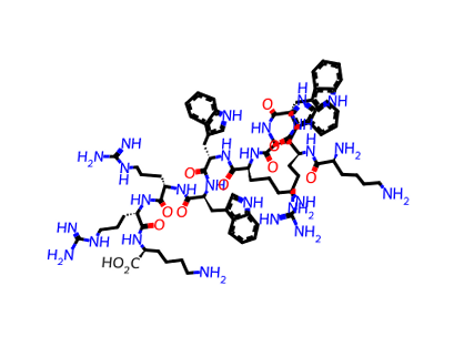 N=C(N)NCCC[C@H](NC(=O)[C@H](CCCNC(=N)N)NC(=O)[C@H](Cc1c[nH]c2ccccc12)NC(=O)[C@H](Cc1c[nH]c2ccccc12)NC(=O)[C@H](CCCCN)NC(=O)[C@H](Cc1c[nH]c2ccccc12)NC(=O)[C@H](Cc1c[nH]c2ccccc12)NC(=O)[C@H](CCCNC(=N)N)NC(=O)[C@@H](N)CCCCN)C(=O)N[C@@H](CCCCN)C(=O)O